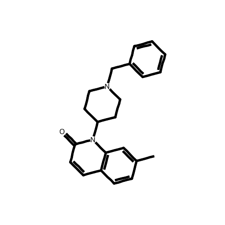 Cc1ccc2ccc(=O)n(C3CCN(Cc4ccccc4)CC3)c2c1